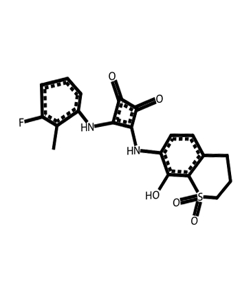 Cc1c(F)cccc1Nc1c(Nc2ccc3c(c2O)S(=O)(=O)CCC3)c(=O)c1=O